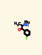 CC(NC(C)(C)C)C(=O)c1cccc(F)c1